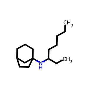 CCCCCC(CC)NC12CCCC(CC1)C2